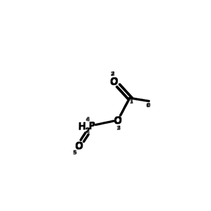 CC(=O)O[PH2]=O